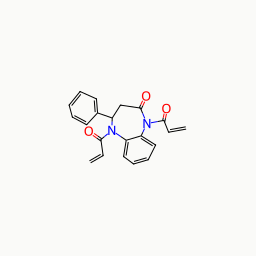 C=CC(=O)N1C(=O)CC(c2ccccc2)N(C(=O)C=C)c2ccccc21